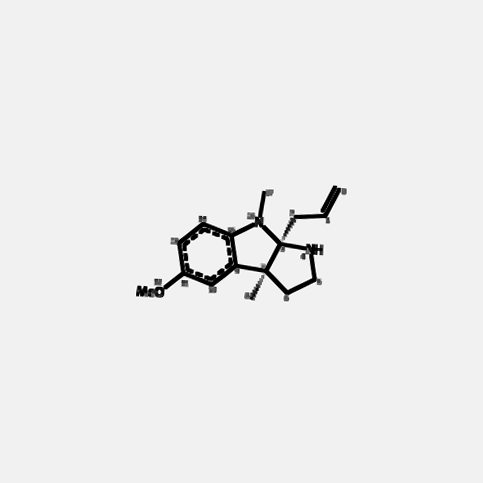 C=CC[C@]12NCC[C@@]1(C)c1cc(OC)ccc1N2C